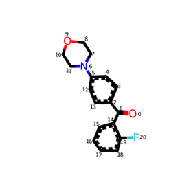 O=C(c1ccc(N2CCOCC2)cc1)c1ccccc1F